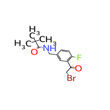 CC(C)(C)C(=O)NCc1ccc(F)c(C(=O)CBr)c1